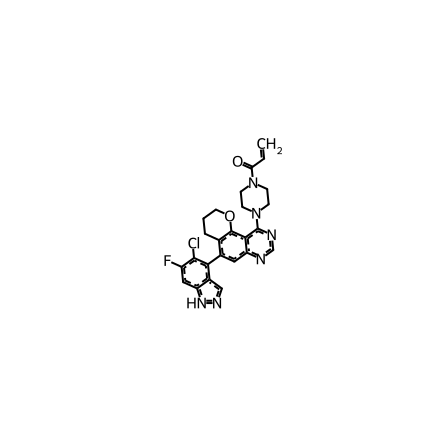 C=CC(=O)N1CCN(c2ncnc3cc(-c4c(Cl)c(F)cc5[nH]ncc45)c4c(c23)OCCC4)CC1